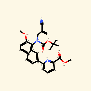 C=C(C#N)CN(C(=O)OC(C)(C)C)c1c(OC)ccc2ccc(-c3cccc(C(=O)OC)n3)cc12